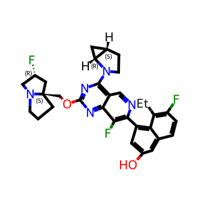 CCc1c(F)ccc2cc(O)cc(-c3ncc4c(N5CC[C@H]6C[C@H]65)nc(OC[C@@]56CCCN5C[C@H](F)C6)nc4c3F)c12